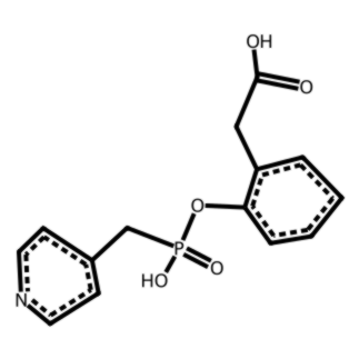 O=C(O)Cc1ccccc1OP(=O)(O)Cc1ccncc1